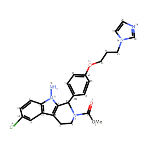 COC(=O)N1CCc2c(n(N)c3ccc(Cl)cc23)C1c1ccc(OCCCn2ccnc2)cc1